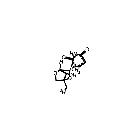 [2H]C[C@]12CO[C@H]([C@H](n3ccc(=O)[nH]c3=O)O1)[C@@]2(C)O